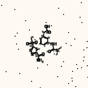 CN(C)C(=O)Nc1cccc(CC(=O)O)c1.CS(=O)(=O)c1nnc(C(N)=O)s1